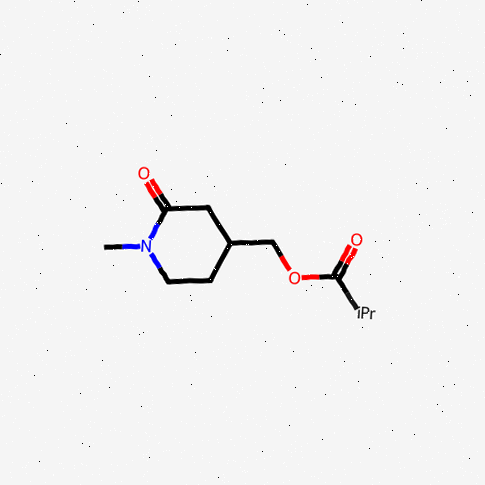 CC(C)C(=O)OCC1CCN(C)C(=O)C1